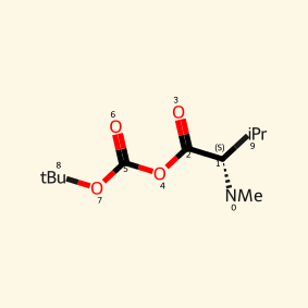 CN[C@H](C(=O)OC(=O)OC(C)(C)C)C(C)C